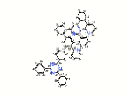 c1ccc(-c2cc(-c3ccccc3-c3cccnc3)nc(-c3ccccc3-c3cccc(-c4ccc(-c5nc(-c6ccccc6)nc(-c6ccccc6)n5)cc4)c3-c3ccccn3)n2)cc1